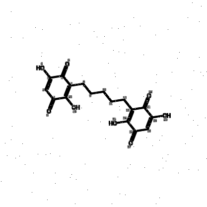 O=C1C=C(O)C(=O)C(CCCCCC2=C(O)C(=O)C=C(O)C2=O)=C1O